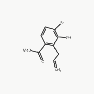 C=CCc1c(C(=O)OC)ccc(Br)c1O